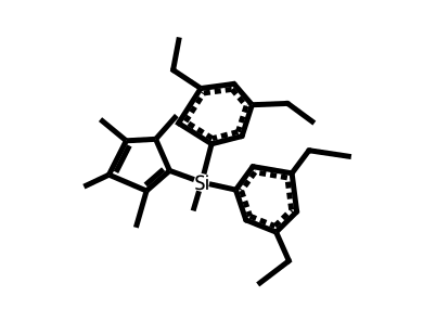 CCc1cc(CC)cc([Si](C)(C2=C(C)C(C)=C(C)C2C)c2cc(CC)cc(CC)c2)c1